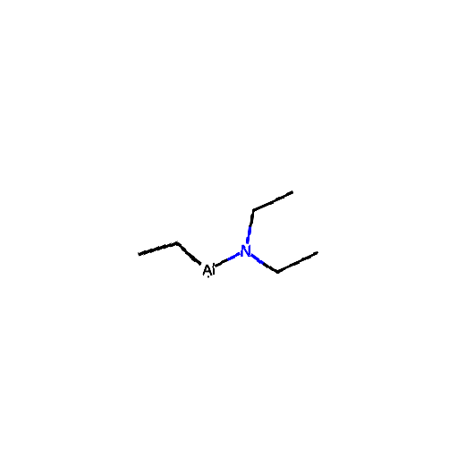 C[CH2][Al][N](CC)CC